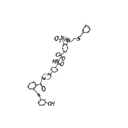 O=C(NS(=O)(=O)c1ccc(NCCSc2ccccc2)c([N+](=O)[O-])c1)c1ccc(N2CCN(C(=O)c3ccccc3C#Cc3cccc(O)c3)CC2)cc1